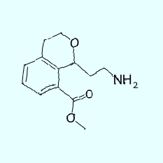 COC(=O)c1cccc2c1C(CCN)OCC2